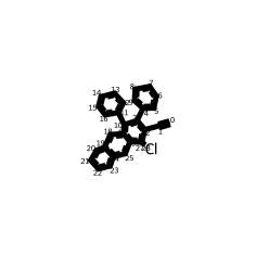 C#Cc1c(-c2ccccc2)c(-c2ccccc2)c2cc3ccccc3cc2c1Cl